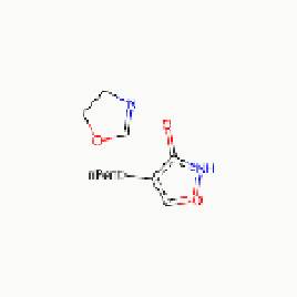 C1=NCCO1.CCCCCc1co[nH]c1=O